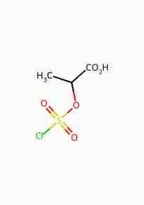 CC(OS(=O)(=O)Cl)C(=O)O